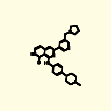 CN1CCC(c2ccc(Nc3nc(-c4cncc(CN5CCCC5)c4)cc4cc[nH]c(=O)c34)cc2)CC1